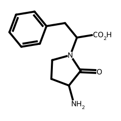 NC1CCN(C(Cc2ccccc2)C(=O)O)C1=O